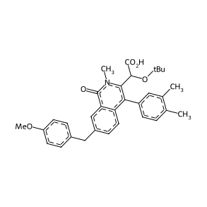 COc1ccc(Cc2ccc3c(-c4ccc(C)c(C)c4)c(C(OC(C)(C)C)C(=O)O)n(C)c(=O)c3c2)cc1